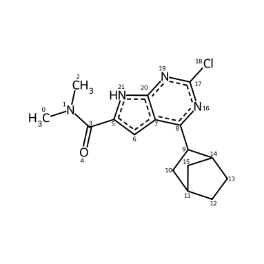 CN(C)C(=O)c1cc2c(C3CC4CCC3C4)nc(Cl)nc2[nH]1